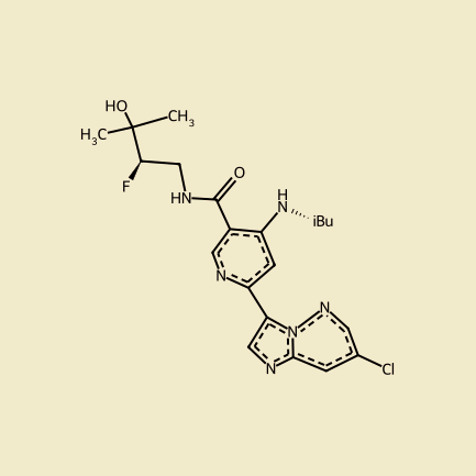 CC[C@@H](C)Nc1cc(-c2cnc3cc(Cl)cnn23)ncc1C(=O)NC[C@@H](F)C(C)(C)O